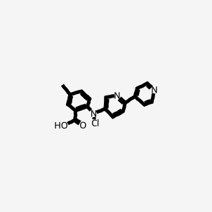 Cc1ccc(N(Cl)c2ccc(-c3ccncc3)nc2)c(C(=O)O)c1